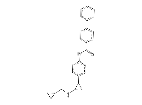 O=C(Nc1ccc(C2CC2NCC2CC2)cc1)c1ccc(-c2ccccc2)cc1